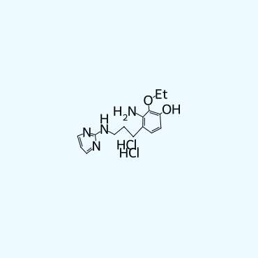 CCOc1c(O)ccc(CCCNc2ncccn2)c1N.Cl.Cl